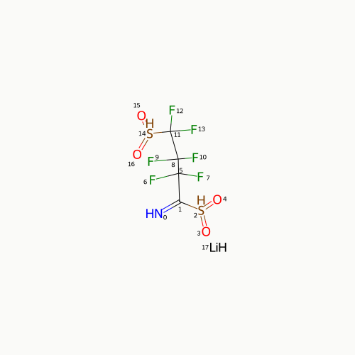 N=C([SH](=O)=O)C(F)(F)C(F)(F)C(F)(F)[SH](=O)=O.[LiH]